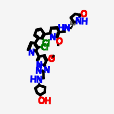 COc1nc(-c2cccc(-c3ccnc(-c4cc(OC)c5nc(CN[C@H]6CC[C@H](O)CC6)nn5c4)c3Cl)c2Cl)ccc1CNC[C@@H]1CCC(=O)N1